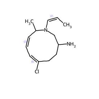 C/C=C\N1CC(N)CC/C(Cl)=C\C=C/C1C